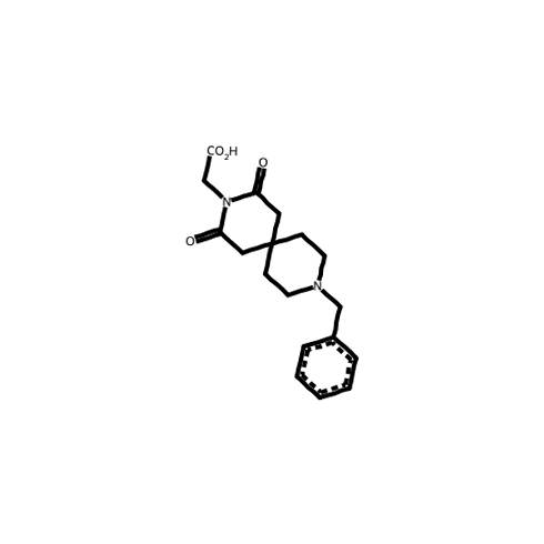 O=C(O)CN1C(=O)CC2(CCN(Cc3ccccc3)CC2)CC1=O